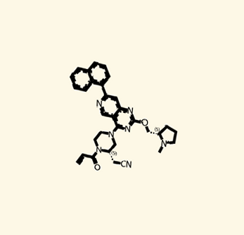 C=CC(=O)N1CCN(c2nc(OC[C@@H]3CCCN3C)nc3cc(-c4cccc5ccccc45)ncc23)C[C@@H]1CC#N